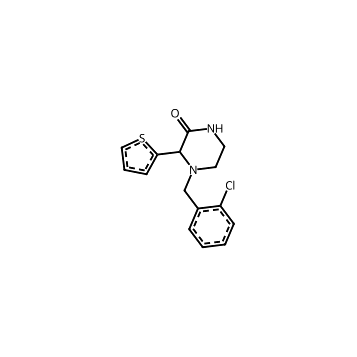 O=C1NCCN(Cc2ccccc2Cl)C1c1cccs1